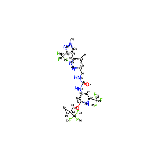 Cc1cc(CNC(=O)Nc2cc(OCC3(C(F)(F)F)CC3)nc(C(F)(F)F)c2)nnc1-c1cn(C)nc1C(F)(F)F